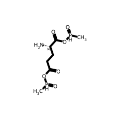 C[PH](=O)OC(=O)CC[C@H](N)C(=O)O[PH](C)=O